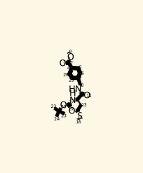 COC(=O)c1ccc(CNC(=O)[C@@H](CCSC)NC(=O)OC(C)(C)C)cc1